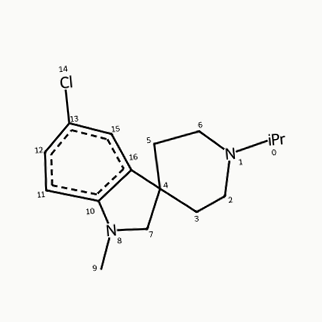 CC(C)N1CCC2(CC1)CN(C)c1ccc(Cl)cc12